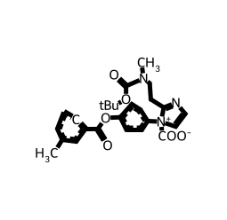 Cc1cccc(C(=O)Oc2ccc([N+]3(C(=O)[O-])C=CN=C3CCN(C)C(=O)OC(C)(C)C)cc2)c1